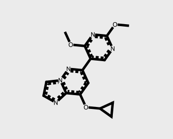 COc1ncc(-c2cc(OC3CC3)c3nccn3n2)c(OC)n1